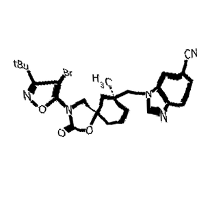 CC(C)(C)c1noc(N2C[C@@]3(CCC[C@](C)(Cn4cnc5ccc(C#N)cc54)C3)OC2=O)c1Br